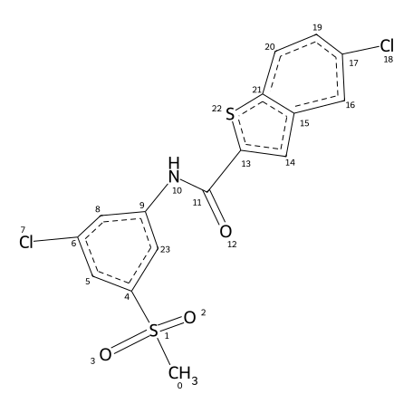 CS(=O)(=O)c1cc(Cl)cc(NC(=O)c2cc3cc(Cl)ccc3s2)c1